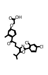 Cc1cc(OCC(=O)O)ccc1C(=O)CCc1nc(-c2ccc(Cl)cc2Cl)oc1C(C)C